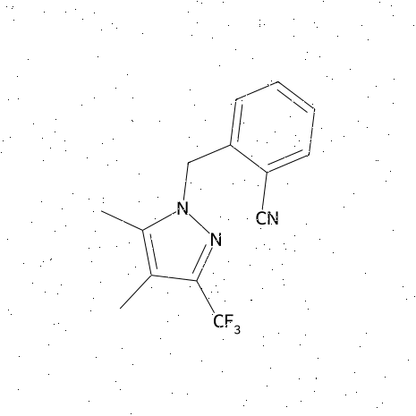 Cc1c(C(F)(F)F)nn(Cc2ccccc2C#N)c1C